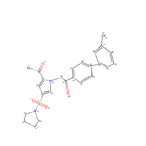 CCC(=O)c1cc(S(=O)(=O)N2CCCC2)cn1CC(=O)c1ccc(-c2cccc(C(F)(F)F)c2)cc1